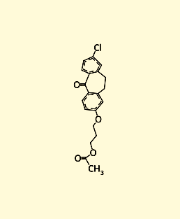 CC(=O)OCCCOc1ccc2c(c1)CCc1cc(Cl)ccc1C2=O